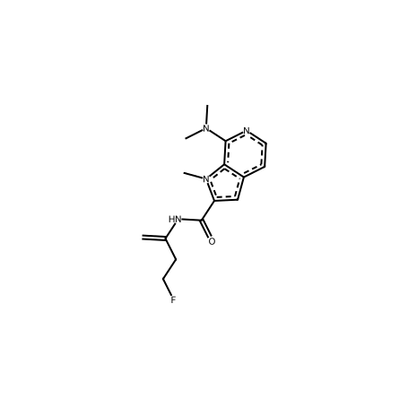 C=C(CCF)NC(=O)c1cc2ccnc(N(C)C)c2n1C